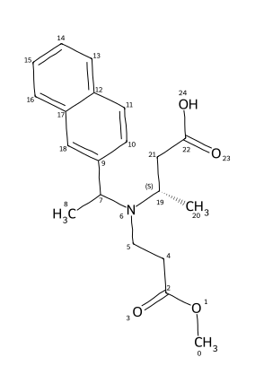 COC(=O)CCN(C(C)c1ccc2ccccc2c1)[C@@H](C)CC(=O)O